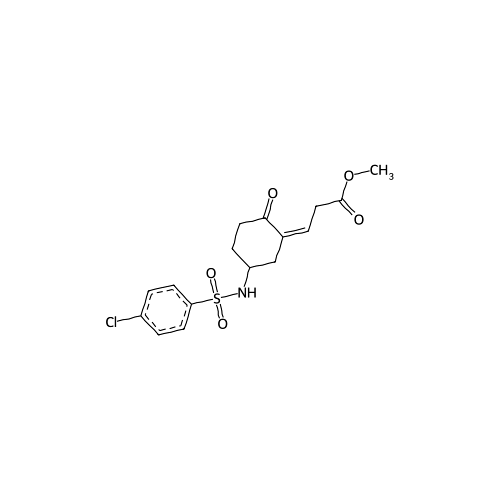 COC(=O)C/C=C1/CC(NS(=O)(=O)c2ccc(Cl)cc2)CCC1=O